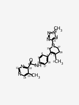 CC1=C(c2ccc(NC(=O)c3ncncc3C)cc2)CN(c2nnn(C)n2)CC1